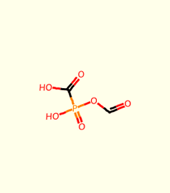 O=COP(=O)(O)C(=O)O